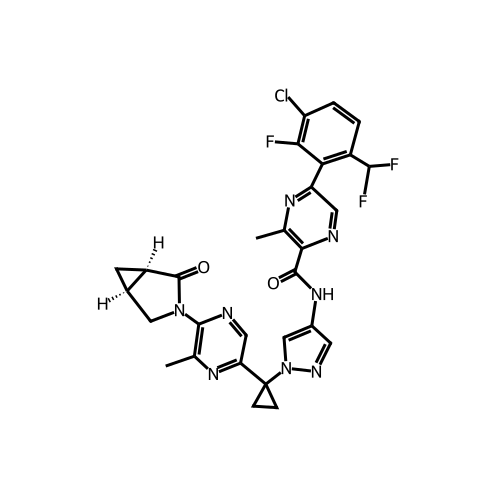 Cc1nc(-c2c(C(F)F)ccc(Cl)c2F)cnc1C(=O)Nc1cnn(C2(c3cnc(N4C[C@H]5C[C@H]5C4=O)c(C)n3)CC2)c1